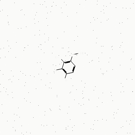 COc1ccc(C)c(N)c1O